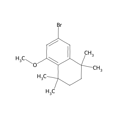 COc1cc(Br)cc2c1C(C)(C)CCC2(C)C